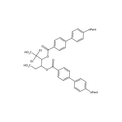 CCCCCc1ccc(-c2ccc(C(=O)OC(CC(=O)O)C(OC(=O)c3ccc(-c4ccc(CCCCC)cc4)cc3)C(CC)(CC)C(=O)O)cc2)cc1